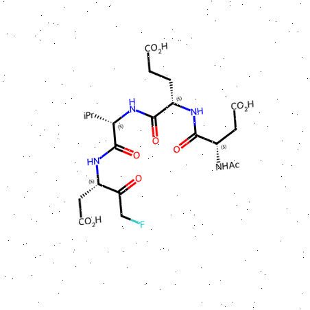 CC(=O)N[C@@H](CC(=O)O)C(=O)N[C@@H](CCC(=O)O)C(=O)N[C@H](C(=O)N[C@@H](CC(=O)O)C(=O)CF)C(C)C